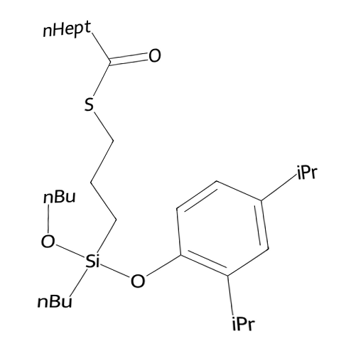 CCCCCCCC(=O)SCCC[Si](CCCC)(OCCCC)Oc1ccc(C(C)C)cc1C(C)C